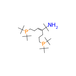 CC(C)(N)C(=CCCP(C(C)(C)C)C(C)(C)C)CCCP(C(C)(C)C)C(C)(C)C